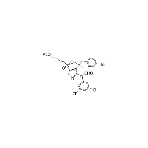 CC(=O)OCCCCS(=O)(=O)c1cnc(N(C=O)c2cc(Cl)cc(Cl)c2)n1C(C)(C)Cc1ccc(Br)cc1